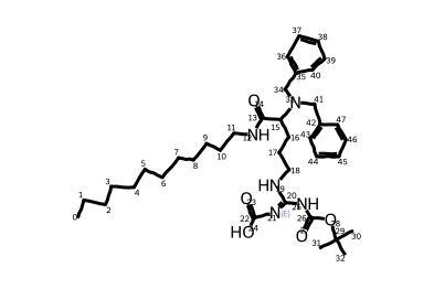 CCCCCCCCCCCCNC(=O)C(CCCN/C(=N\C(=O)O)NC(=O)OC(C)(C)C)N(Cc1ccccc1)Cc1ccccc1